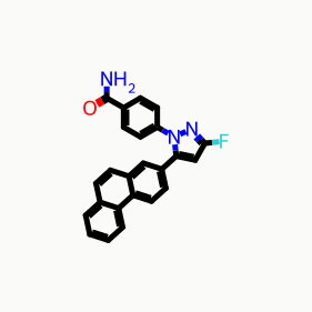 NC(=O)c1ccc(-n2nc(F)cc2-c2ccc3c(ccc4ccccc43)c2)cc1